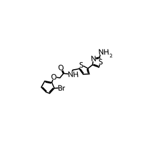 Nc1nc(-c2ccc(CNC(=O)COc3ccccc3Br)s2)cs1